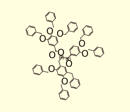 O=C(O[C@@H]1Cc2c(OCc3ccccc3)cc(OCc3ccccc3)c(Cc3ccccc3)c2O[C@@H]1c1ccc(OCc2ccccc2)c(OCc2ccccc2)c1)c1cc(OCc2ccccc2)c(OCc2ccccc2)c(OCc2ccccc2)c1